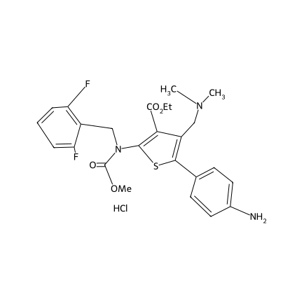 CCOC(=O)c1c(N(Cc2c(F)cccc2F)C(=O)OC)sc(-c2ccc(N)cc2)c1CN(C)C.Cl